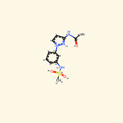 CCCC(=O)Nc1ccn(-c2cccc(NS(C)(=O)=O)c2)n1